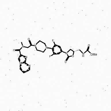 COC(=O)NC[C@H]1CN(c2cc(F)c(N3CCN(C(=O)CN(C)C(=O)c4cn5cccnc5n4)CC3)c(F)c2)C(=O)O1